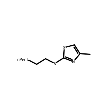 CCCCCCCSc1nc(C)cs1